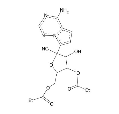 CCC(=O)OCC1OC(C#N)(c2ccc3c(N)ncnn23)C(O)C1OC(=O)CC